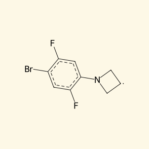 Fc1cc(N2C[CH]C2)c(F)cc1Br